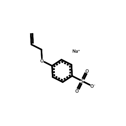 C=CCOc1ccc(S(=O)(=O)[O-])cc1.[Na+]